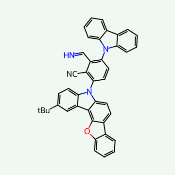 CC(C)(C)c1ccc2c(c1)c1c3oc4ccccc4c3ccc1n2-c1ccc(-n2c3ccccc3c3ccccc32)c(C=N)c1C#N